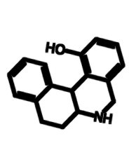 Oc1cccc2c1C1c3ccccc3CCC1NC2